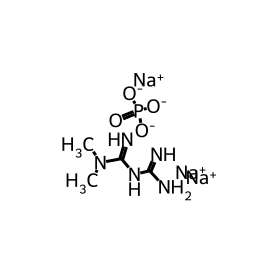 CN(C)C(=N)NC(=N)N.O=P([O-])([O-])[O-].[Na+].[Na+].[Na+]